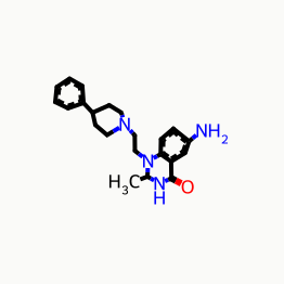 CC1NC(=O)c2cc(N)ccc2N1CCN1CCC(c2ccccc2)CC1